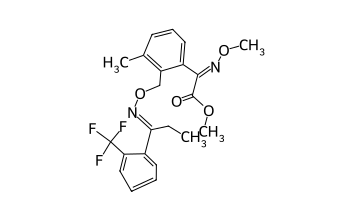 CC/C(=N\OCc1c(C)cccc1/C(=N\OC)C(=O)OC)c1ccccc1C(F)(F)F